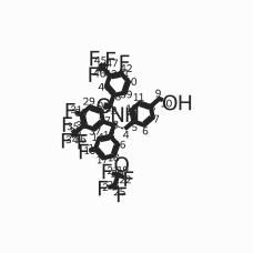 O=C(N[C@@](Cc1ccc(CO)cc1)(c1cc(F)cc(OC(F)(F)C(F)F)c1)c1ccc(F)c(C(F)(F)F)c1)c1ccc(F)c(C(F)(F)F)c1